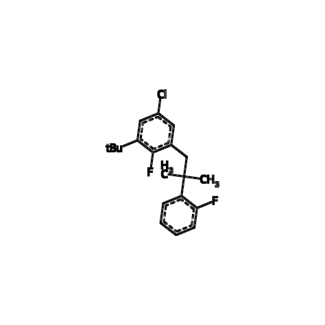 CC(C)(C)c1cc(Cl)cc(CC(C)(C)c2ccccc2F)c1F